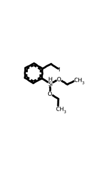 CCO[SiH](OCC)c1ccccc1CI